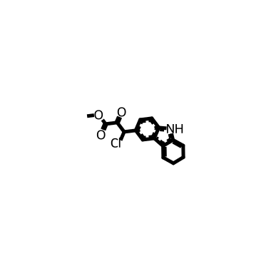 COC(=O)C(=O)C(Cl)c1ccc2[nH]c3c(c2c1)=CCCC=3